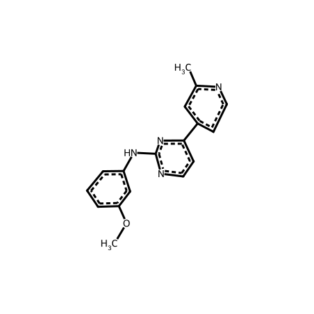 COc1cccc(Nc2nccc(-c3ccnc(C)c3)n2)c1